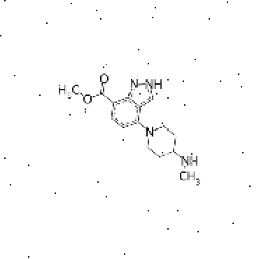 CNC1CCN(c2ccc(C(=O)OC)c3n[nH]cc23)CC1